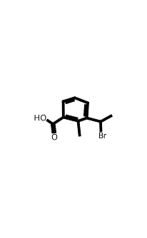 Cc1c(C(=O)O)cccc1C(C)Br